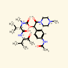 CC(=O)Nc1ccc(C(OC(=O)N(C)[C@H](C(=O)N[C@H](C(C)=O)C(C)C)C(C)C)C(=O)N2CCN(C)CC2)cc1